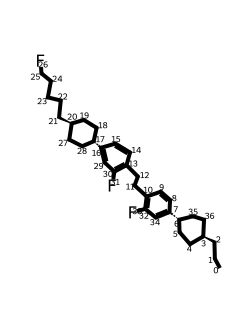 CCC[C@H]1CC[C@H](c2ccc(CCc3ccc([C@H]4CC[C@H](CCCCCF)CC4)cc3F)c(F)c2)CC1